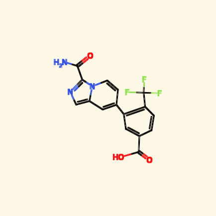 NC(=O)c1ncc2cc(-c3cc(C(=O)O)ccc3C(F)(F)F)ccn12